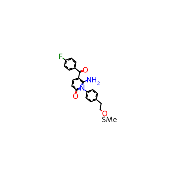 CSOCCc1ccc(-n2c(N)c(C(=O)c3ccc(F)cc3)ccc2=O)cc1